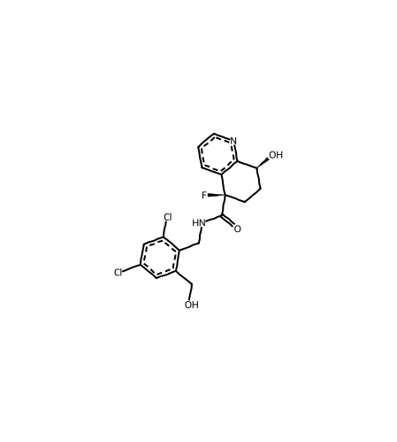 O=C(NCc1c(Cl)cc(Cl)cc1CO)[C@@]1(F)CC[C@H](O)c2ncccc21